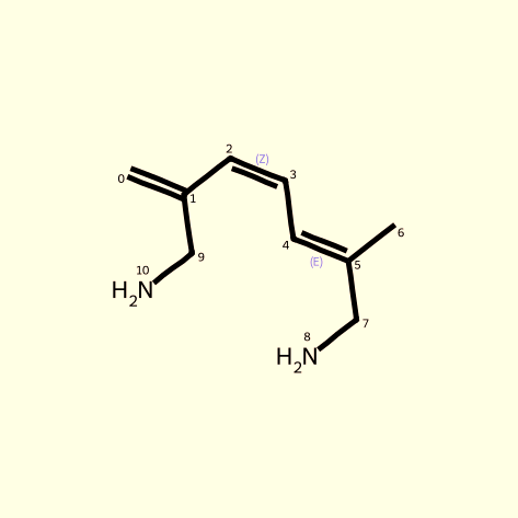 C=C(/C=C\C=C(/C)CN)CN